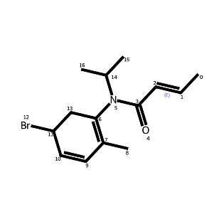 C/C=C/C(=O)N(C1=C(C)C=CC(Br)C1)C(C)C